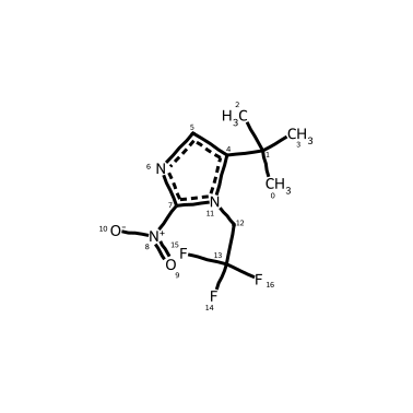 CC(C)(C)c1cnc([N+](=O)[O-])n1CC(F)(F)F